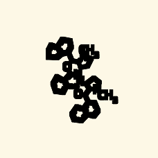 CN1CCCC1[C@@H](Oc1nnc(O[C@@H](c2cccc3ccccc23)[C@@H]2CCCN2C)c2ccccc12)c1cccc2ccccc12